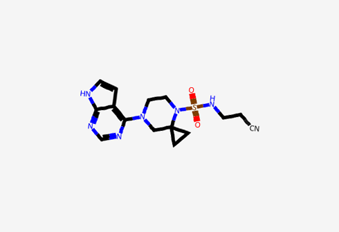 N#CCCNS(=O)(=O)N1CCN(c2ncnc3[nH]ccc23)CC12CC2